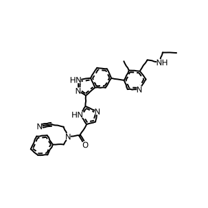 CCNCc1cncc(-c2ccc3[nH]nc(-c4ncc(C(=O)N(CC#N)Cc5ccccc5)[nH]4)c3c2)c1C